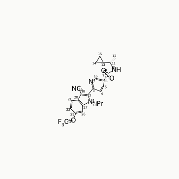 CC(C)n1c(-c2ccc(S(=O)(=O)N[C@@H](C)C3CC3)cn2)c(C#N)c2ccc(OC(F)(F)F)cc21